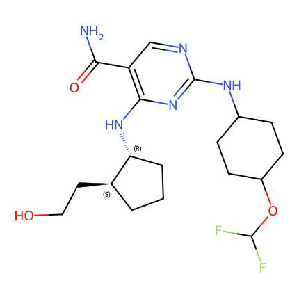 NC(=O)c1cnc(NC2CCC(OC(F)F)CC2)nc1N[C@@H]1CCC[C@H]1CCO